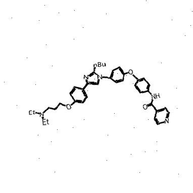 CCCCc1nc(-c2ccc(OCCCN(CC)CC)cc2)cn1-c1ccc(Oc2ccc(NC(=O)c3ccncc3)cc2)cc1